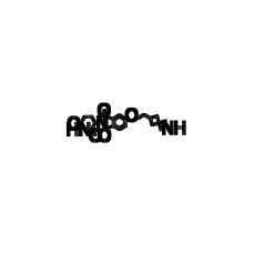 O=C1CCC(N2C(=O)c3ccc(OCCC4CC5(CNC5)C4)cc3C2=O)C(=O)N1